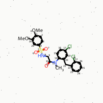 COc1ccc(S(=O)(=O)NCC(=O)N(C)c2ccc(Cl)cc2Cc2ccccc2Cl)cc1OC